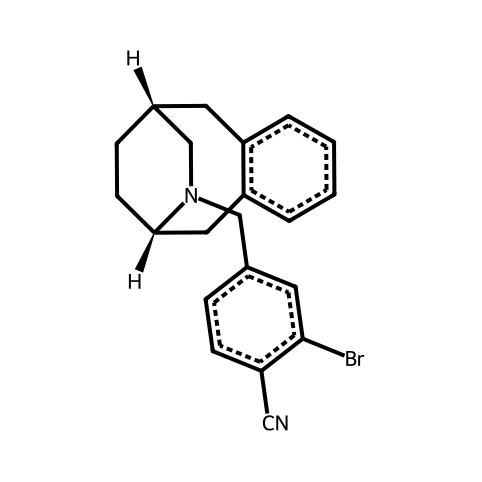 N#Cc1ccc(CN2C[C@@H]3CC[C@H]2Cc2ccccc2C3)cc1Br